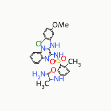 COc1ccc(Cl)c(Nc2nc3ccccc3nc2NS(=O)(=O)c2cc(N[C@@H](C)C(N)=O)ccc2C)c1